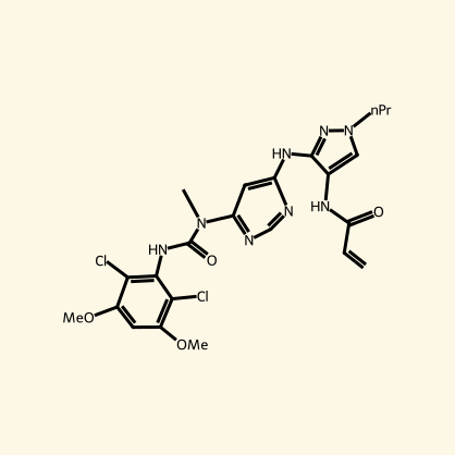 C=CC(=O)Nc1cn(CCC)nc1Nc1cc(N(C)C(=O)Nc2c(Cl)c(OC)cc(OC)c2Cl)ncn1